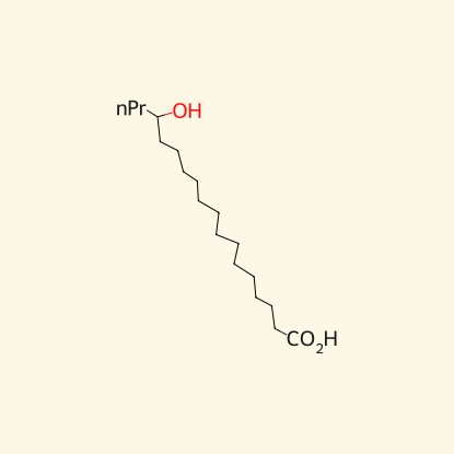 CCCC(O)CCCCCCCCCCCCCC(=O)O